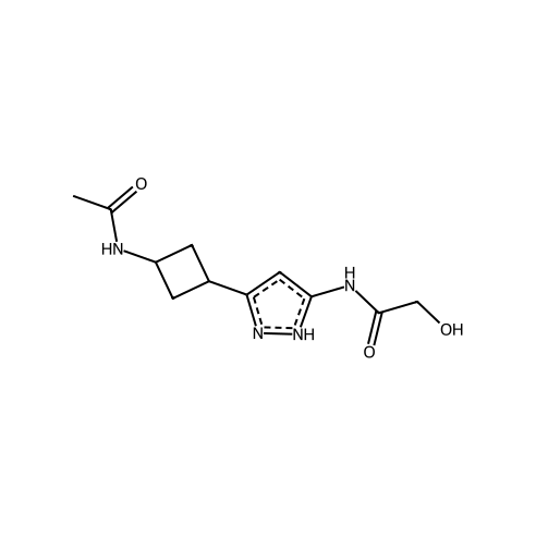 CC(=O)NC1CC(c2cc(NC(=O)CO)[nH]n2)C1